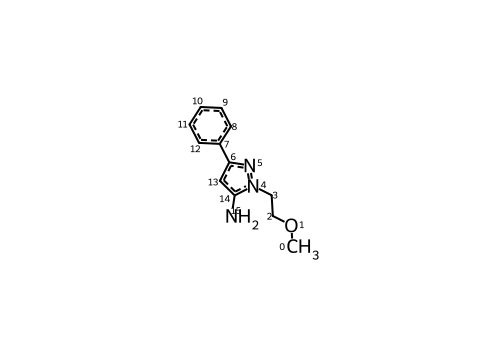 COCCn1nc(-c2ccccc2)cc1N